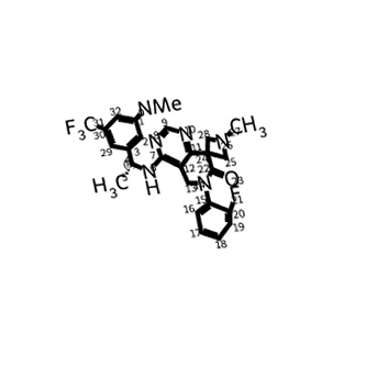 CNc1cc([C@@H](C)Nc2ncnc3c2CN(c2ccccc2F)C(=O)C32CN(C)C2)cc(C(F)(F)F)c1